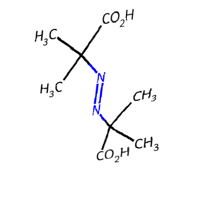 CC(C)(/N=N/C(C)(C)C(=O)O)C(=O)O